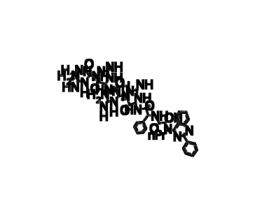 CCCN(c1nc(-c2ccccc2)nc2ccccc12)C(O)C(=O)NC(C(=O)NC(NC(=N)N)C(=O)NC(NC(=N)N)C(=O)NC(NC(=N)N)C(=O)NC(NC(=N)N)C(N)=O)c1ccccc1